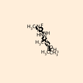 Cc1cn2cc(C(=N)Nc3cc(C)c(N4CCN(C(=O)OC(C)(C)C)CC4)cn3)cc(F)c2n1